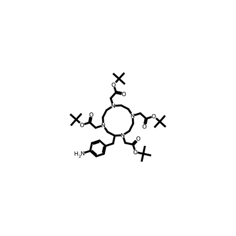 CC(C)(C)OC(=O)CN1CCN(CC(=O)OC(C)(C)C)CCN(CC(=O)OC(C)(C)C)C(Cc2ccc(N)cc2)CN(CC(=O)OC(C)(C)C)CC1